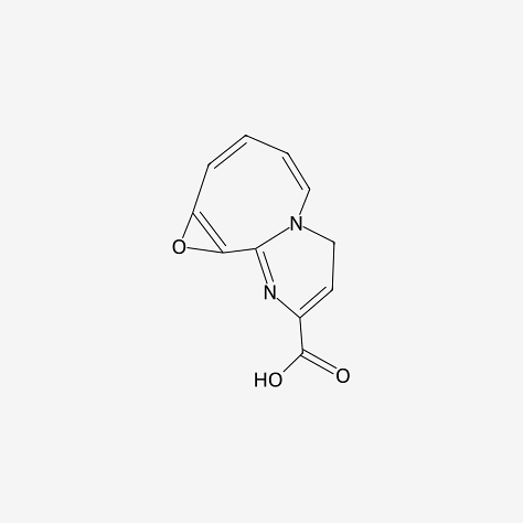 O=C(O)C1=CCN2/C=C\C=C/C3=C(O3)C2=N1